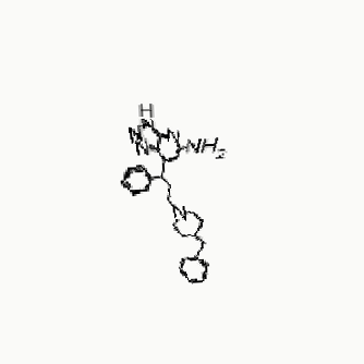 Nc1cc(C(CCN2CCC(Cc3ccccc3)CC2)c2ccccc2)c2nn[nH]c2n1